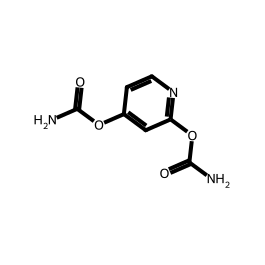 NC(=O)Oc1ccnc(OC(N)=O)c1